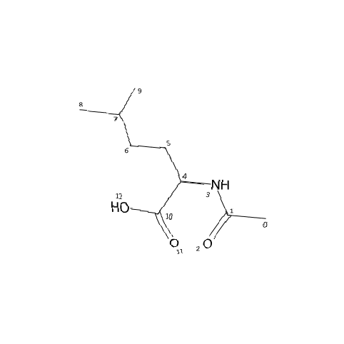 CC(=O)NC(CCC(C)C)C(=O)O